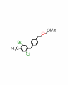 COCOCCc1ccc(Cc2cc(Br)c(C)cc2Cl)cc1